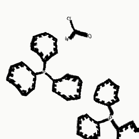 O=[C](Cl)[Ir].c1ccc(P(c2ccccc2)c2ccccc2)cc1.c1ccc(P(c2ccccc2)c2ccccc2)cc1